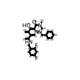 C=C(NCc1ccc(F)cc1F)C1=CN2C(=C(O)C1=C)C(=O)N(C)CN2Cc1ccccc1